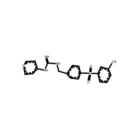 N#Cc1cccc(S(=O)(=O)c2ccc(CNC(=N)Nc3ccncc3)cc2)c1